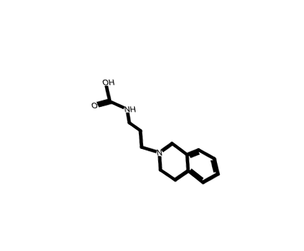 O=C(O)NCCCN1CCc2ccccc2C1